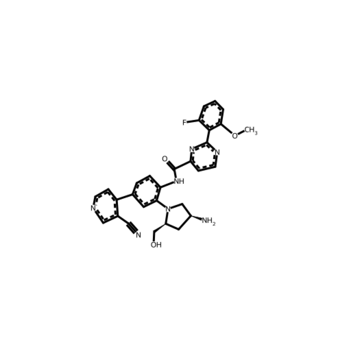 COc1cccc(F)c1-c1nccc(C(=O)Nc2ccc(-c3ccncc3C#N)cc2N2C[C@@H](N)C[C@H]2CO)n1